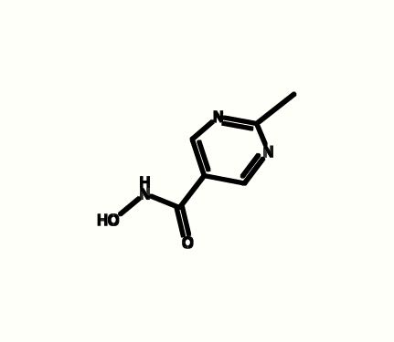 Cc1ncc(C(=O)NO)cn1